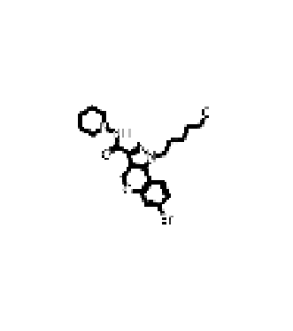 O=C(NN1CCCCC1)c1nn(CCCCCCl)c2c1COc1cc(Br)ccc1-2